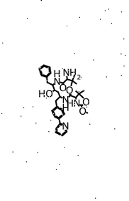 COC(=O)NC(C(=O)NC(Cc1ccc(-c2ccccn2)cc1)CC(O)C(Cc1ccccc1)NC(=O)C(N)C(C)(C)C)C(C)(C)C